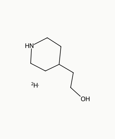 OCCC1CCNCC1.[2H]